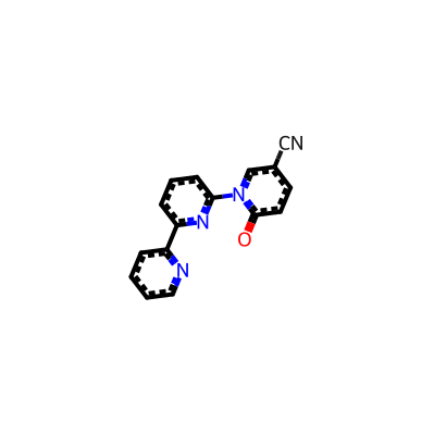 N#Cc1ccc(=O)n(-c2cccc(-c3ccccn3)n2)c1